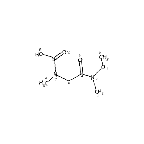 CON(C)C(=O)CN(C)C(=O)O